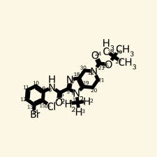 [2H]C([2H])([2H])n1c(C(=O)Nc2cccc(Br)c2Cl)nc2c1CCN(C(=O)OC(C)(C)C)C2